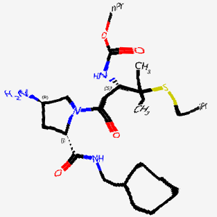 CCCOC(=O)N[C@@H](C(=O)N1C[C@H](N)C[C@H]1C(=O)NCC1CCCCC1)C(C)(C)SCC(C)C